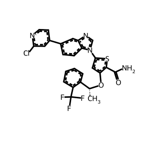 C[C@@H](Oc1cc(-n2cnc3cc(-c4ccnc(Cl)c4)ccc32)sc1C(N)=O)c1ccccc1C(F)(F)F